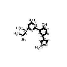 CC[C@H](N)CN(C)c1cc(C)nc(-c2cc(-c3cnn(C)c3)ccc2O)n1